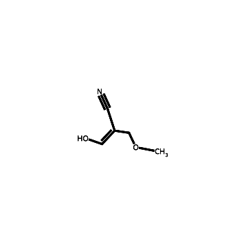 COCC(C#N)=CO